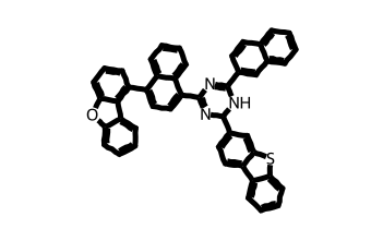 c1ccc2cc(C3=NC(c4ccc(-c5cccc6oc7ccccc7c56)c5ccccc45)=NC(c4ccc5c(c4)sc4ccccc45)N3)ccc2c1